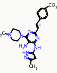 Cc1cc(Nc2nc(/C=C/c3ccc(C(=O)O)cc3)nc(N3CCN(C)CC3)c2N)[nH]n1